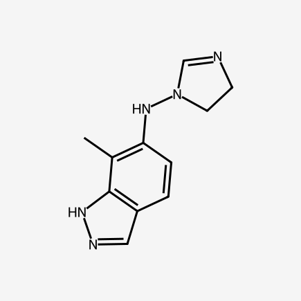 Cc1c(NN2C=NCC2)ccc2cn[nH]c12